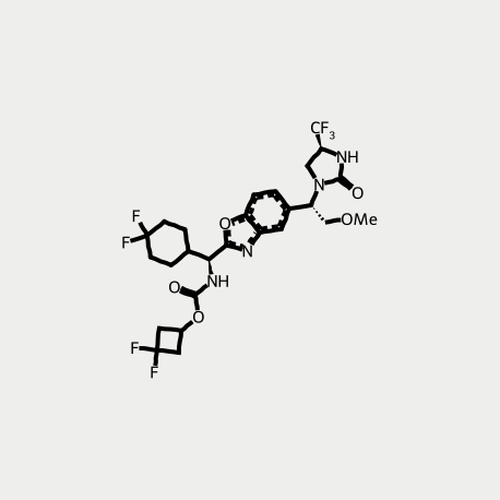 COC[C@H](c1ccc2oc([C@@H](NC(=O)OC3CC(F)(F)C3)C3CCC(F)(F)CC3)nc2c1)N1C[C@@H](C(F)(F)F)NC1=O